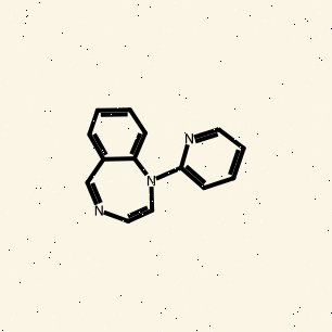 C1=CN(c2ccccn2)c2ccccc2C=N1